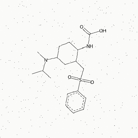 CC(C)N(C)C1CCC(NC(=O)O)C(CS(=O)(=O)c2ccccc2)C1